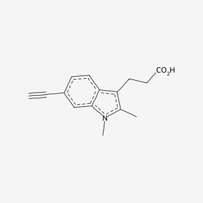 C#Cc1ccc2c(CCC(=O)O)c(C)n(C)c2c1